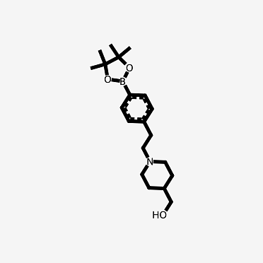 CC1(C)OB(c2ccc(CCN3CCC(CO)CC3)cc2)OC1(C)C